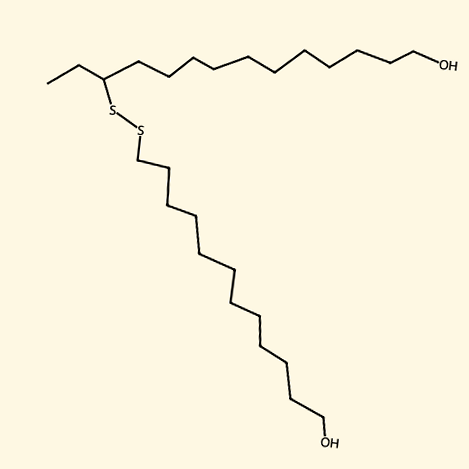 CCC(CCCCCCCCCCCO)SSCCCCCCCCCCCCO